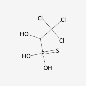 OC(C(Cl)(Cl)Cl)P(O)(O)=S